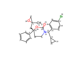 CC1(C[C@]2(c3ccccc3)CCN(C(c3ccc(Br)cc3)C3CC3)C(=O)O2)CO1